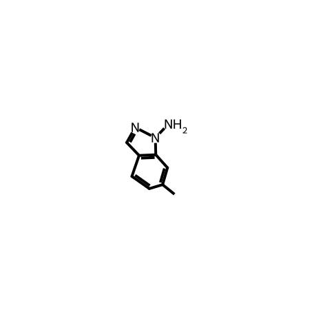 Cc1ccc2cnn(N)c2c1